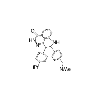 CNCc1ccc(C2Nc3cccc4c(=O)[nH]nc(c34)C2c2ccc(C(C)C)cc2)cc1